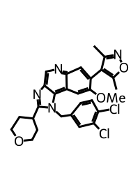 COc1cc2c(cc1-c1c(C)noc1C)ncc1nc(C3CCOCC3)n(Cc3ccc(Cl)c(Cl)c3)c12